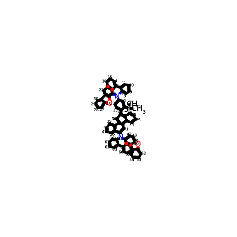 C[Si]1(C)c2cc(N(c3ccccc3-c3ccccc3)c3cccc4c3oc3ccccc34)ccc2-c2cc3c4ccccc4c(N(c4ccc5oc6ccccc6c5c4)c4ccccc4-c4ccccc4)cc3c3cccc1c23